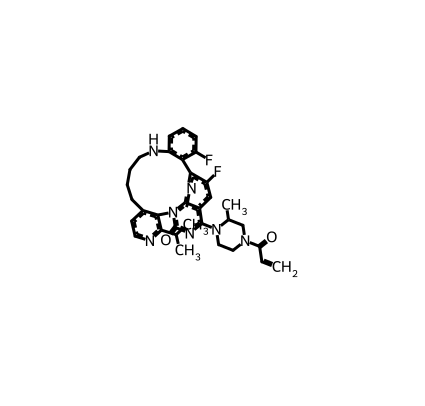 C=CC(=O)N1CCN(c2nc(=O)n3c4nc(c(F)cc24)-c2c(F)cccc2NCCCCc2ccnc(C(C)C)c2-3)C(C)C1